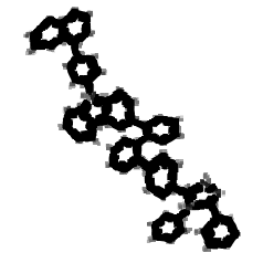 c1ccc(-c2nnc(-c3ccc(-c4ccccc4-c4ccccc4-c4ccc5c(c4)c4ccccc4n5-c4ccc(-c5cccc6ccccc56)cc4)cc3)n2-c2ccccc2)cc1